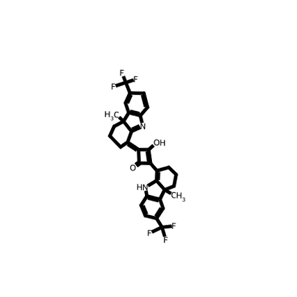 CC12CCC/C(=C3\C(=O)C(C4=C5Nc6ccc(C(F)(F)F)cc6C5(C)CCC4)=C3O)C1=Nc1ccc(C(F)(F)F)cc12